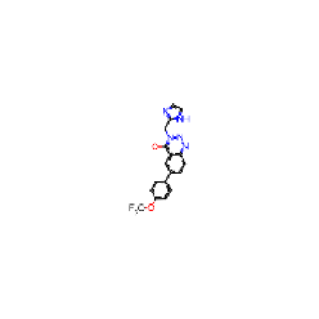 O=c1c2cc(-c3ccc(OC(F)(F)F)cc3)ccc2nnn1Cc1ncc[nH]1